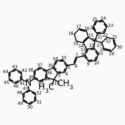 CC1(C)c2cc(/C=C/c3cccc4c3C3=C(C=CCC3)C4(c3ccccc3)C3C=CC=CC3)ccc2-c2ccc(N(c3ccccc3)c3ccccc3)cc21